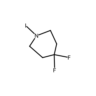 FC1(F)CCN(I)CC1